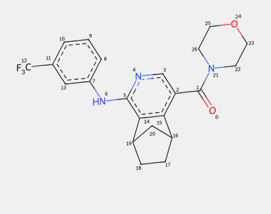 O=C(c1cnc(Nc2cccc(C(F)(F)F)c2)c2c1C1CCC2C1)N1CCOCC1